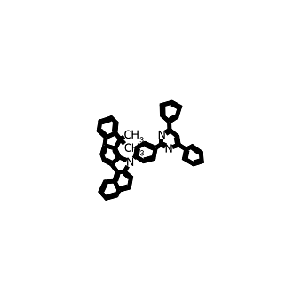 CC1(C)c2ccccc2-c2ccc3c4c5ccccc5ccc4n(-c4ccc(-c5nc(-c6ccccc6)cc(-c6ccccc6)n5)cc4)c3c21